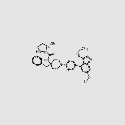 CCOc1cc(-c2ccc(N3CCC(Cc4ccccc4)(NC(=O)[C@H]4NCC[C@@H]4O)CC3)nc2)c2c(/C=N\C)cnn2c1